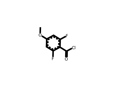 COc1cc(F)c(C(=O)Cl)c(F)c1